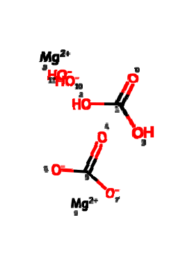 O=C(O)O.O=C([O-])[O-].[Mg+2].[Mg+2].[OH-].[OH-]